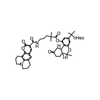 CCCCCCC(C)(C)c1cc(OC(=O)C(C)(C)CCCNC(=O)c2cc3cc4c5c(c3oc2=O)CCCN5CCC4)c2c(c1)OC(C)(C)[C@@H]1CCC(=O)C[C@@H]21